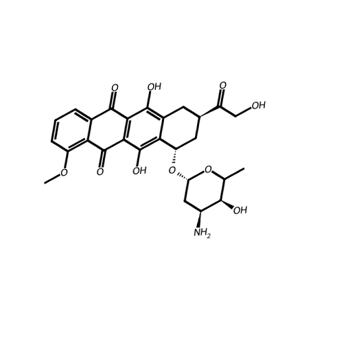 COc1cccc2c1C(=O)c1c(O)c3c(c(O)c1C2=O)C[C@@H](C(=O)CO)C[C@@H]3O[C@H]1C[C@H](N)[C@H](O)C(C)O1